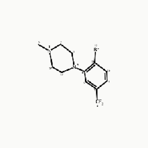 CN1CCN(c2cc(C(F)(F)F)ccc2Br)CC1